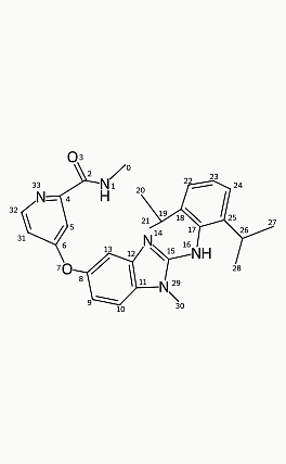 CNC(=O)c1cc(Oc2ccc3c(c2)nc(Nc2c(C(C)C)cccc2C(C)C)n3C)ccn1